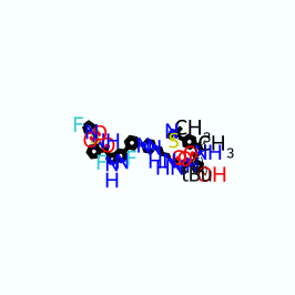 Cc1ncsc1-c1ccc([C@H](C)NC(=O)[C@@H]2C[C@@H](O)CN2C(=O)C(NC(=O)NCCCN2CCN(c3cccc(-c4cc5c(C(=O)c6ccccc6NS(=O)(=O)N6CCC(F)C6)c(F)[nH]c5nc4F)c3)CC2)C(C)(C)C)cc1